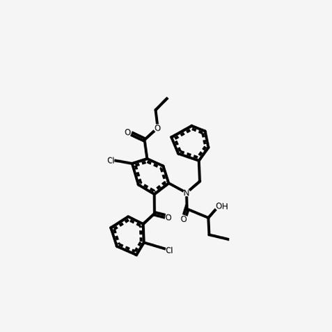 CCOC(=O)c1cc(N(Cc2ccccc2)C(=O)C(O)CC)c(C(=O)c2ccccc2Cl)cc1Cl